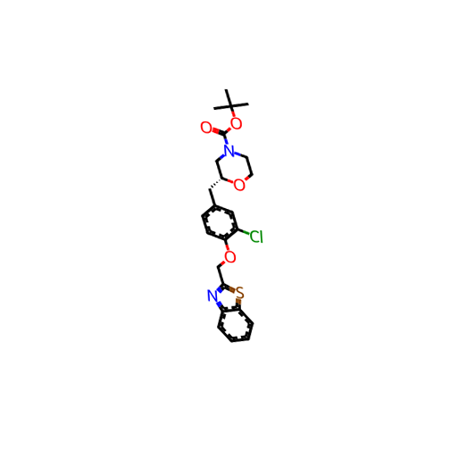 CC(C)(C)OC(=O)N1CCO[C@H](Cc2ccc(OCc3nc4ccccc4s3)c(Cl)c2)C1